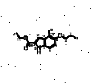 CCCOc1ccc2[nH]c(C(=O)OCC)cc2c1C